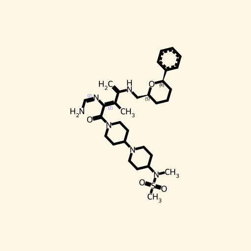 C=C(NC[C@@H]1CCC[C@H](c2ccccc2)O1)/C(C)=C(\N=C/N)C(=O)N1CCC(N2CCC(N(C)S(C)(=O)=O)CC2)CC1